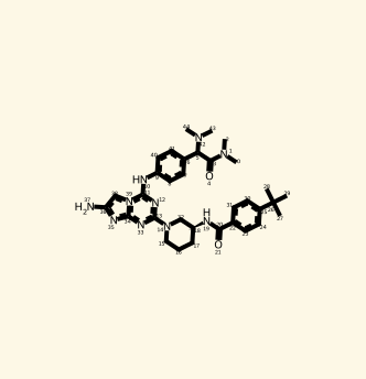 CN(C)C(=O)C(c1ccc(Nc2nc(N3CCC[C@H](NC(=O)c4ccc(C(C)(C)C)cc4)C3)nc3nc(N)cn23)cc1)N(C)C